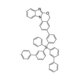 c1ccc(-c2cccc([Si](c3ccccc3)(c3cccc(-c4ccccc4)c3)c3cccc(-c4ccc5c(c4)COc4nc6ccccc6n4-5)c3)c2)cc1